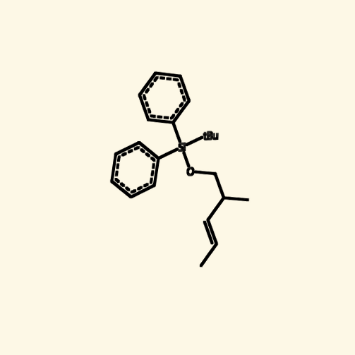 CC=CC(C)CO[Si](c1ccccc1)(c1ccccc1)C(C)(C)C